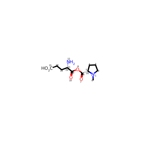 CN1CCC[C@H]1C(=O)OC(=O)[C@@H](N)CCC(=O)O